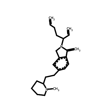 C=CCCC(C=C)N1Cc2cc(CCC3CCCCN3C)ccc2C1=C